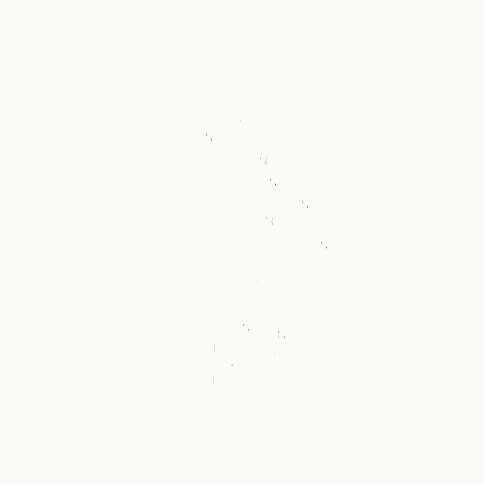 O=C(c1ccc(N(Cc2ccc(-c3noc(C(F)(F)F)n3)s2)c2cnccn2)nn1)N1CCC2(COC2)C1